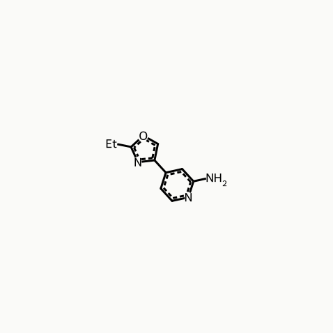 CCc1nc(-c2ccnc(N)c2)co1